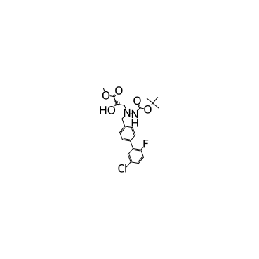 COC(=O)[C@H](O)CN(Cc1ccc(-c2cc(Cl)ccc2F)cc1)NC(=O)OC(C)(C)C